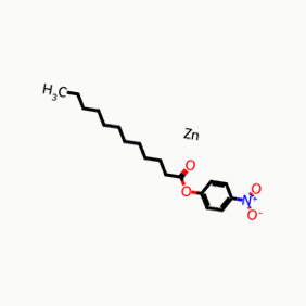 CCCCCCCCCCCC(=O)Oc1ccc([N+](=O)[O-])cc1.[Zn]